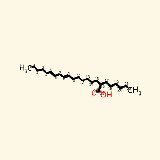 CCCCCC=CCC=CCCCCCCC(CCCCCC)C(=O)O